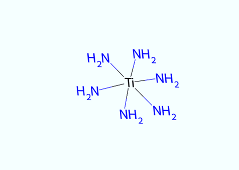 [NH2][Ti]([NH2])([NH2])([NH2])([NH2])[NH2]